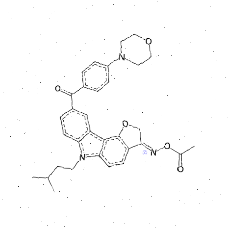 CC(=O)O/N=C1\COc2c1ccc1c2c2cc(C(=O)c3ccc(N4CCOCC4)cc3)ccc2n1CCC(C)C